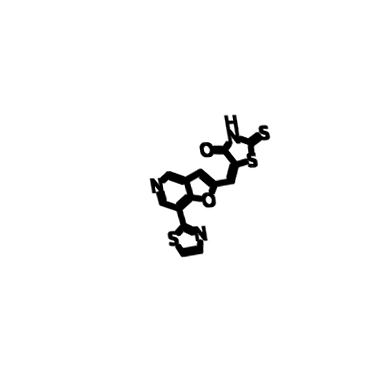 O=C1NC(=S)S/C1=C/c1cc2cncc(-c3nccs3)c2o1